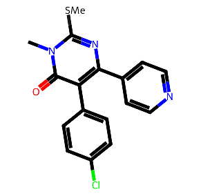 CSc1nc(-c2ccncc2)c(-c2ccc(Cl)cc2)c(=O)n1C